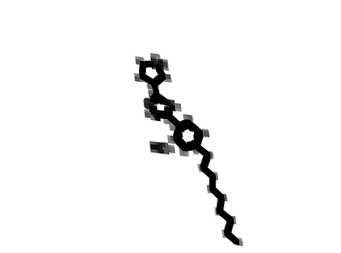 CCCCCCCCCc1ccc(-c2noc(C3CCNC3)n2)cc1.Cl